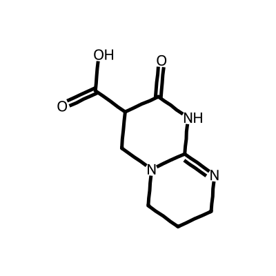 O=C(O)C1CN2CCCN=C2NC1=O